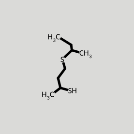 CCC(C)SCCC(C)S